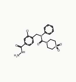 NNC(=O)c1ccc(CN(C(=O)N2CCS(=O)(=O)CC2)c2ccccc2)c(Cl)c1